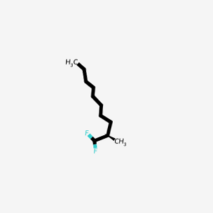 CCCCCCCC[C@@H](C)C(F)F